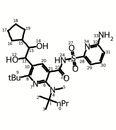 CCCC(C)(C)N(C)c1nc(C(C)(C)C)c(C(O)C(O)C2CCCC2)cc1C(=O)NS(=O)(=O)c1cccc(N)n1